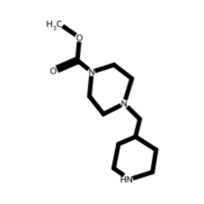 COC(=O)N1CCN(CC2CCNCC2)CC1